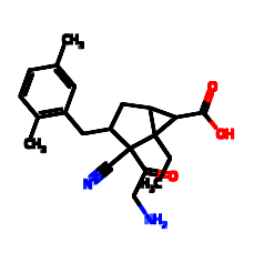 CCC12C(CC(Cc3cc(C)ccc3C)C1(C#N)C(=O)CN)C2C(=O)O